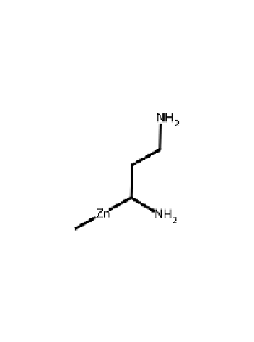 [CH3][Zn][CH](N)CCN